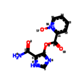 NC(=O)c1[nH]cnc1OC(=O)c1cccc[n+]1[O-]